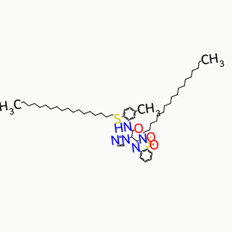 CCCCCCCCCCCCCCCCCCSc1ccc(C)cc1NC(=O)C(C1=Nc2ccccc2S(=O)(=O)N1CCCCCCCCCCCCCCCCCC)n1ccnc1